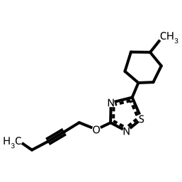 CCC#CCOc1nsc(C2CCC(C)CC2)n1